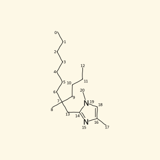 CCCCCCCC(C)(CCCC)Cc1nc(C)cn1C